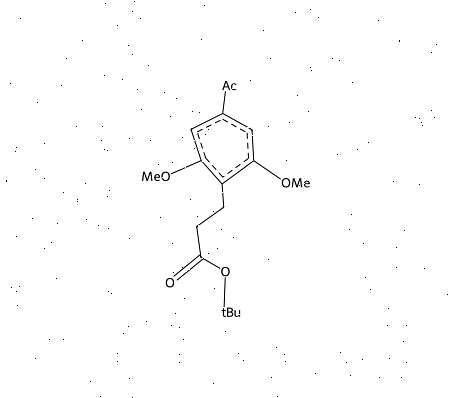 COc1cc(C(C)=O)cc(OC)c1CCC(=O)OC(C)(C)C